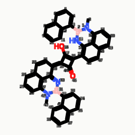 CN1B(c2cccc3ccccc23)Nc2c(C3=C(O)/C(=c4\ccc5cccc6c5c4=NB(c4cccc5ccccc45)N6C)C3=O)ccc3cccc1c23